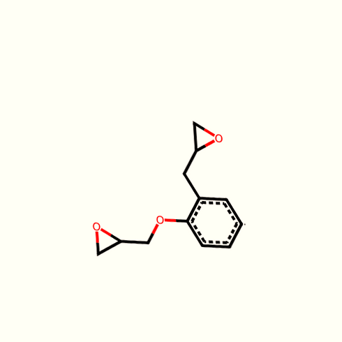 [c]1ccc(OCC2CO2)c(CC2CO2)c1